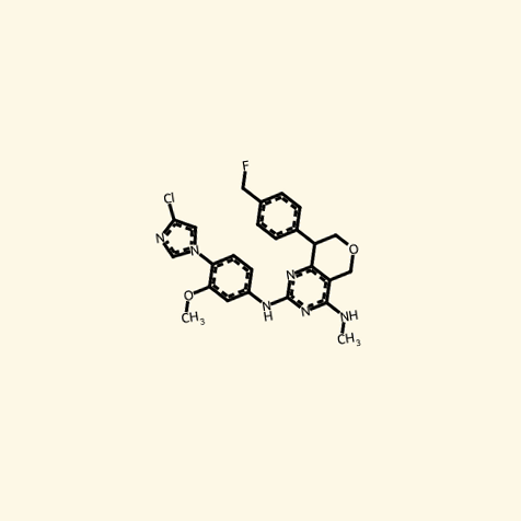 CNc1nc(Nc2ccc(-n3cnc(Cl)c3)c(OC)c2)nc2c1COCC2c1ccc(CF)cc1